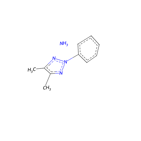 Cc1nn(-c2ccccc2)nc1C.N